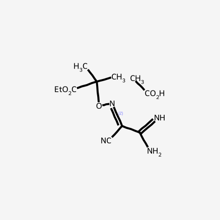 CC(=O)O.CCOC(=O)C(C)(C)O/N=C(\C#N)C(=N)N